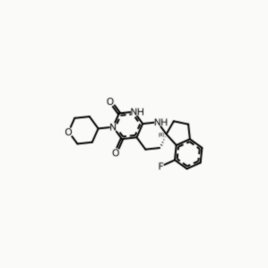 O=c1[nH]c2c(c(=O)n1C1CCOCC1)CC[C@@]1(CCc3cccc(F)c31)N2